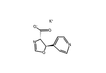 O=C([O-])[C@H]1N=CO[C@@H]1c1ccncc1.[K+]